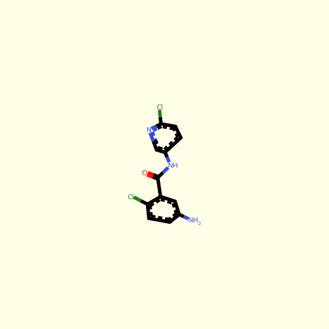 Nc1ccc(Cl)c(C(=O)Nc2ccc(Cl)nc2)c1